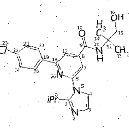 CC(C)c1nccn1-c1cc(C(=O)NC(C)(C)CO)cc(-c2ccc(Cl)cc2)n1